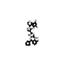 O=C(N[C@H]1N=C(c2ccccc2)c2cccc(F)c2NC1=O)c1cnn(C2CCOCC2)c1Oc1ccc(Cl)cc1F